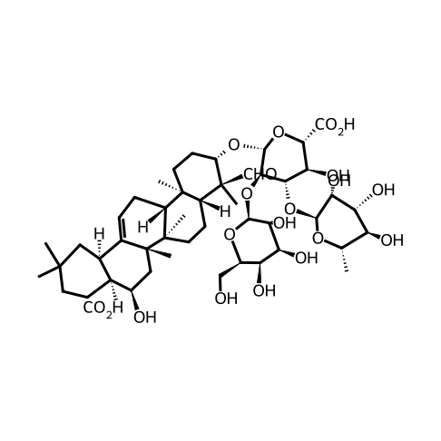 C[C@@H]1O[C@@H](O[C@H]2[C@H](O)[C@@H](C(=O)O)O[C@@H](O[C@H]3CC[C@]4(C)[C@H]5CC=C6[C@@H]7CC(C)(C)CC[C@]7(C(=O)O)[C@H](O)C[C@@]6(C)[C@]5(C)CC[C@H]4[C@]3(C)C=O)[C@@H]2O[C@@H]2O[C@H](CO)[C@H](O)[C@H](O)[C@H]2O)[C@H](O)[C@H](O)[C@H]1O